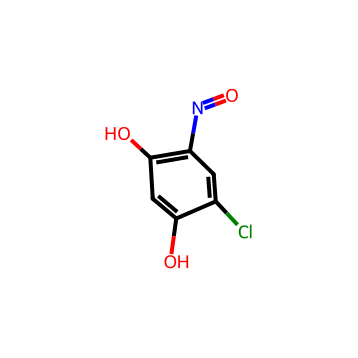 O=Nc1cc(Cl)c(O)cc1O